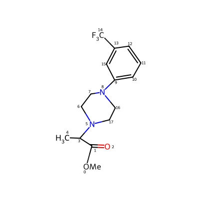 COC(=O)C(C)N1CCN(c2cccc(C(F)(F)F)c2)CC1